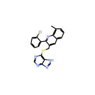 Cc1cccc2cc(CSc3ncnc4nc[nH]c34)c(-c3ccccc3Cl)nc12